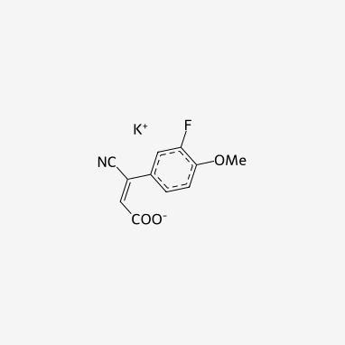 COc1ccc(/C(C#N)=C\C(=O)[O-])cc1F.[K+]